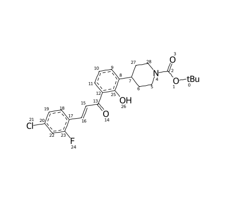 CC(C)(C)OC(=O)N1CCC(c2cccc(C(=O)/C=C/c3ccc(Cl)cc3F)c2O)CC1